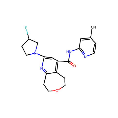 N#Cc1ccnc(NC(=O)c2cc(N3CCC(F)C3)nc3c2CCOCC3)c1